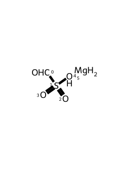 O=CS(=O)(=O)O.[MgH2]